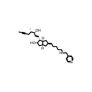 CC#CC[C@H](C)[C@H](O)/C=C/[C@@H]1[C@H]2C/C(=C/CCCCNCc3ccncc3)C[C@H]2C[C@H]1O